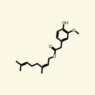 COc1cc(CC(=O)OC/C=C(/C)CCC=C(C)C)ccc1O